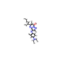 CCCCC(CC)c1nc2n(c(=O)c1C)N=C(C)C2=Nc1ccc(N(CC)CC)cc1C